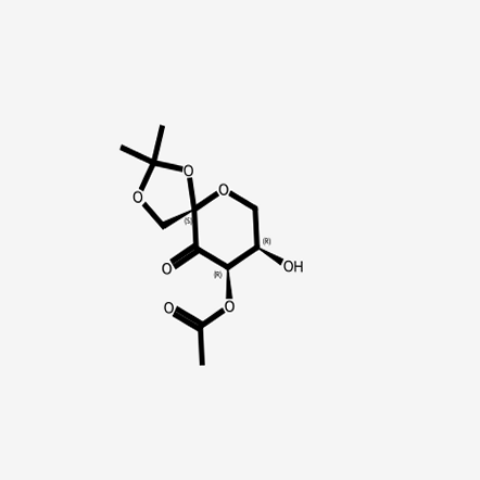 CC(=O)O[C@H]1C(=O)[C@@]2(COC(C)(C)O2)OC[C@H]1O